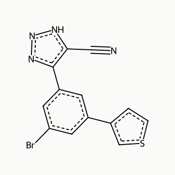 N#Cc1[nH]nnc1-c1cc(Br)cc(-c2ccsc2)c1